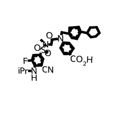 CC(C)Nc1c(F)cc(S(=O)(=O)N(C)CC(=O)N(Cc2ccc(C3CCCCC3)cc2)c2ccc(C(=O)O)cc2)cc1C#N